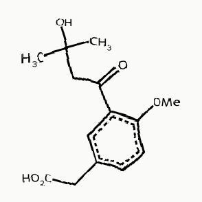 COc1ccc(CC(=O)O)cc1C(=O)CC(C)(C)O